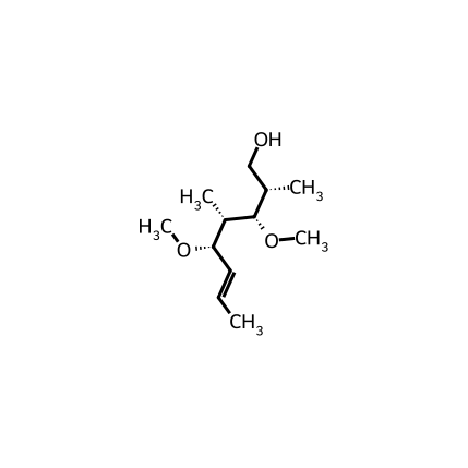 C/C=C/[C@H](OC)[C@H](C)[C@@H](OC)[C@@H](C)CO